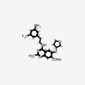 COc1cc2nc(C)nc(NCCc3cc(N)cc(C(F)(F)F)c3)c2cc1O[C@H]1CCOC1